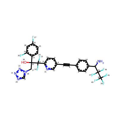 NC(c1ccc(C#Cc2ccc(C(F)(F)C(O)(Cn3cnnn3)c3ccc(F)cc3F)nc2)cc1)C(F)(F)C(F)(F)F